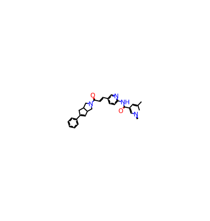 C=N/C=C(\C=C(C)C)C(=O)Nc1ccc(/C=C/C(=O)N2CC3C=C(c4ccccc4)CC3C2)cn1